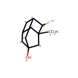 O=C(O)C12CC3CC(CC(O)(C3)C1)C2F